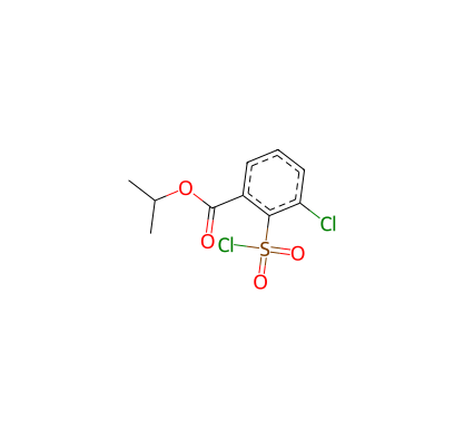 CC(C)OC(=O)c1cccc(Cl)c1S(=O)(=O)Cl